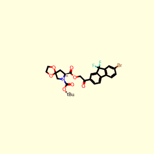 CC(C)(C)OC(=O)N1CC2(C[C@H]1C(=O)OCC(=O)c1ccc3c(c1)C(F)(F)c1cc(Br)ccc1-3)OCCO2